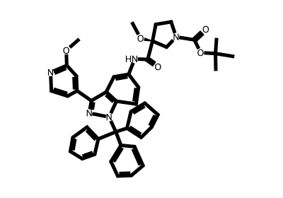 COc1cc(-c2nn(C(c3ccccc3)(c3ccccc3)c3ccccc3)c3ccc(NC(=O)[C@]4(OC)CCN(C(=O)OC(C)(C)C)C4)cc23)ccn1